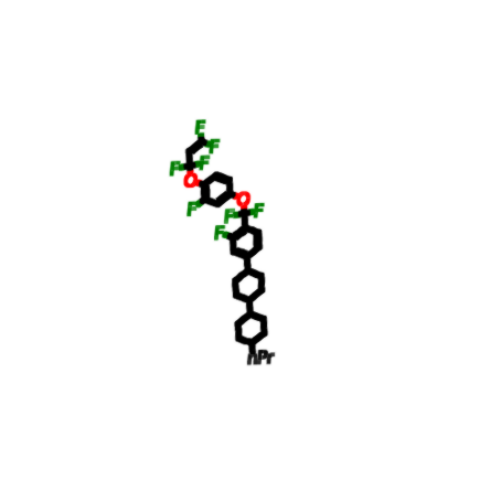 CCCC1CCC(C2CCC(c3ccc(C(F)(F)Oc4ccc(OC(F)(F)C=C(F)F)c(F)c4)c(F)c3)CC2)CC1